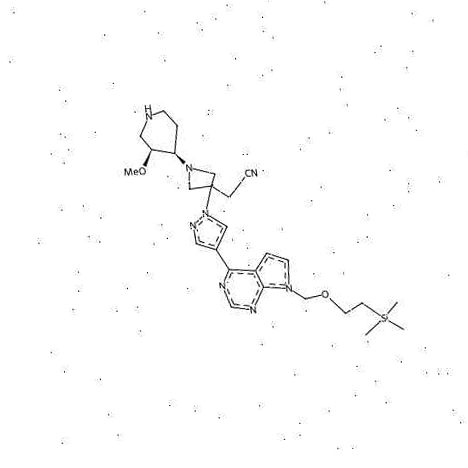 CO[C@H]1CNCC[C@H]1N1CC(CC#N)(n2cc(-c3ncnc4c3ccn4COCC[Si](C)(C)C)cn2)C1